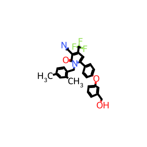 Cc1ccc(Cn2c(-c3ccc(Oc4cccc(CO)c4)cc3)cc(C(F)(F)F)c(C#N)c2=O)c(C)c1